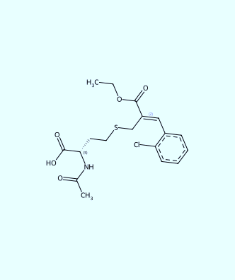 CCOC(=O)/C(=C/c1ccccc1Cl)CSCC[C@H](NC(C)=O)C(=O)O